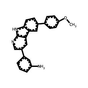 COc1ccc(-c2ccc3[nH]c4ncc(-c5cccc(N)c5)cc4c3c2)cc1